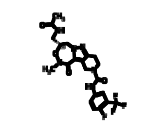 CC(=O)NC[C@@H]1Cn2nc3c(c2C(=O)N(C)O1)CN(C(=O)Nc1ccc(F)c(C(F)(F)F)c1)CC3